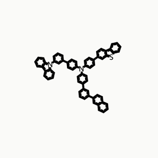 c1cc(-c2ccc(N(c3ccc(-c4cccc(-n5c6ccccc6c6ccccc65)c4)cc3)c3ccc(-c4ccc5c(c4)sc4ccccc45)cc3)cc2)cc(-c2ccc3ccccc3c2)c1